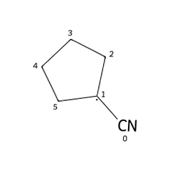 N#C[C]1CCCC1